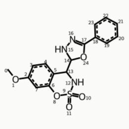 COc1ccc2c(c1)OS(=O)(=O)NC2C1NN=C(c2ccccc2)O1